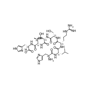 CC(C)C[C@H](NC(=O)[C@@H](N)Cc1c[nH]cn1)C(=O)N[C@@H](CCCNC(=N)N)C(=O)N[C@@H](CO)C(=O)N[C@H](C(=O)N[C@H](C(=O)N[C@@H](Cc1c[nH]cn1)C(=O)O)[C@@H](C)O)[C@@H](C)O